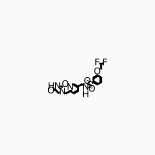 O=C1CN(Cc2ccc(CNS(=O)(=O)c3cccc(OCC(F)F)c3)cn2)C(=O)N1